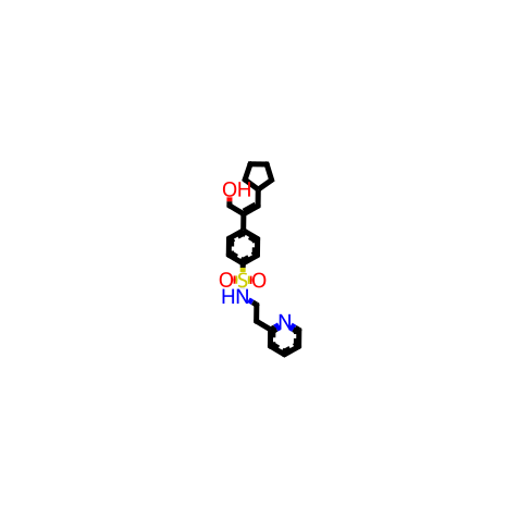 O=S(=O)(NCCc1ccccn1)c1ccc(C(=CC2CCCC2)CO)cc1